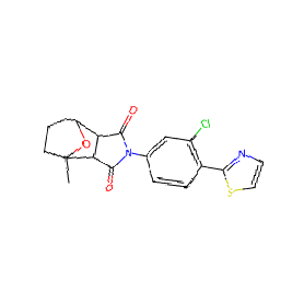 CC12CCC(O1)C1C(=O)N(c3ccc(-c4nccs4)c(Cl)c3)C(=O)C12